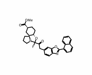 COC(=O)[C@H]1CC[C@H](OC(F)(C(=O)Cc2ccc3nc(-c4cccc5ccccc45)oc3c2)N2CCCC2)CC1